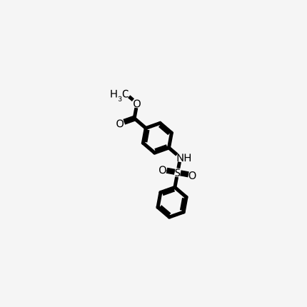 COC(=O)c1ccc(NS(=O)(=O)c2ccccc2)cc1